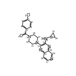 O=C(c1ccc(Cl)cc1)N1CCN(c2nc3ccncc3nc2NC2CC2)CC1